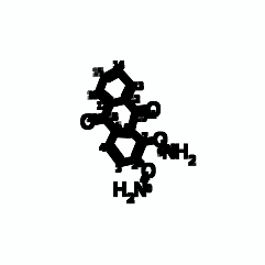 NOc1ccc2c(c1ON)C(=O)c1ccccc1C2=O